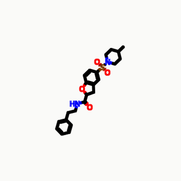 CC1CCN(S(=O)(=O)c2ccc3c(c2)CC(C(=O)NCCc2ccccc2)O3)CC1